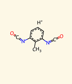 Cc1c(N=C=O)cccc1N=C=O.[H+]